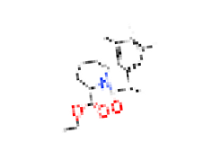 CCOC(=O)C1CCCCN1C(=O)C(C)c1cc(C)c(C)c(C)c1